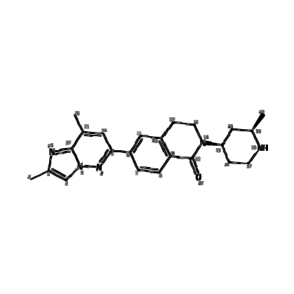 Cc1cn2nc(-c3ccc4c(c3)CCN([C@@H]3CCN[C@H](C)C3)C4=O)cc(C)c2n1